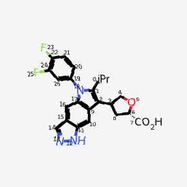 CC(C)c1c(C2CO[C@H](C(=O)O)C2)c2cc3[nH]ncc3cc2n1-c1ccc(F)c(F)c1